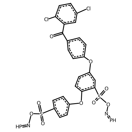 O=C(c1ccc(Oc2ccc(Oc3ccc(S(=O)(=O)ON=P)cc3)c(S(=O)(=O)ON=P)c2)cc1)c1cc(Cl)ccc1Cl